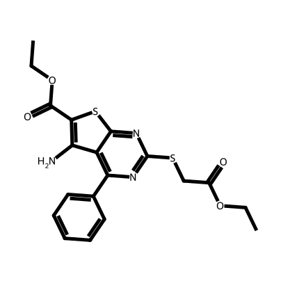 CCOC(=O)CSc1nc(-c2ccccc2)c2c(N)c(C(=O)OCC)sc2n1